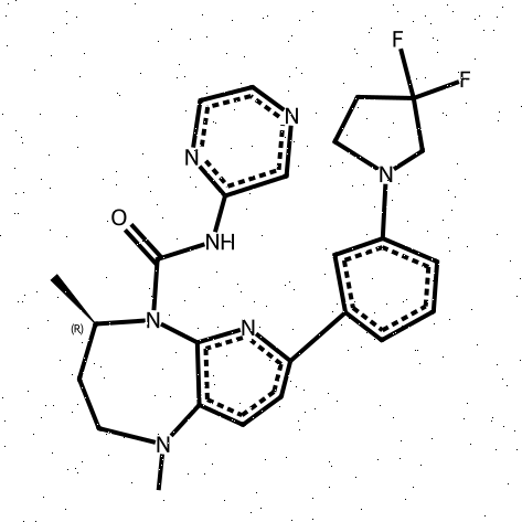 C[C@@H]1CCN(C)c2ccc(-c3cccc(N4CCC(F)(F)C4)c3)nc2N1C(=O)Nc1cnccn1